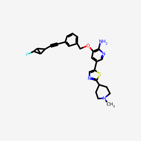 CN1CCC(c2ncc(-c3cnc(N)c(OCc4cccc(C#CC5C6C(F)C56)c4)c3)s2)CC1